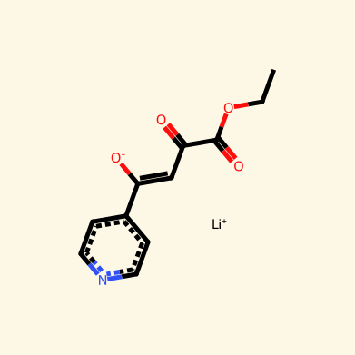 CCOC(=O)C(=O)C=C([O-])c1ccncc1.[Li+]